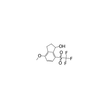 COc1ccc(S(=O)(=O)C(F)(F)F)c2c1CCC2O